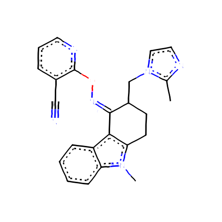 Cc1nccn1CC1CCc2c(c3ccccc3n2C)/C1=N/Oc1ncccc1C#N